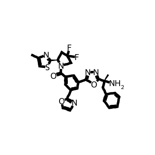 Cc1csc([C@H]2CC(F)(F)CN2C(=O)c2cc(-c3ncco3)cc(-c3nnc([C@](C)(N)Cc4ccccc4)o3)c2)n1